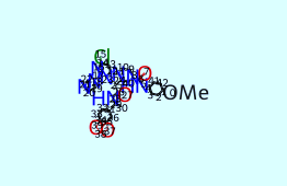 COc1ccc(NC(=O)N2CCN(c3cc(Cl)nc(-n4ccnc4)n3)C(CC(=O)NC(C)c3ccc4c(c3)OCO4)C2)cc1